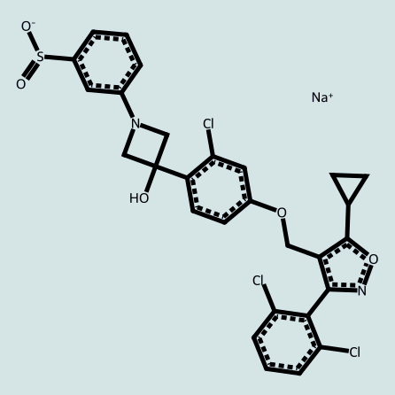 O=S([O-])c1cccc(N2CC(O)(c3ccc(OCc4c(-c5c(Cl)cccc5Cl)noc4C4CC4)cc3Cl)C2)c1.[Na+]